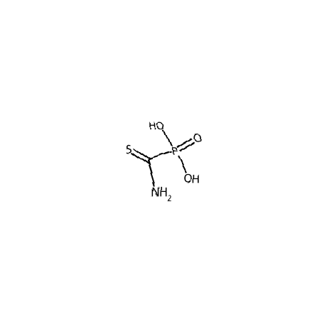 NC(=S)P(=O)(O)O